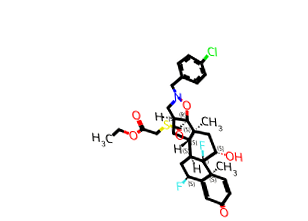 CCOC(=O)CSC(=O)[C@@]12ON(Cc3ccc(Cl)cc3)C[C@@H]1C[C@H]1[C@@H]3C[C@H](F)C4=CC(=O)C=C[C@]4(C)[C@@]3(F)[C@@H](O)C[C@@]12C